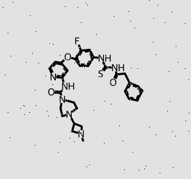 CN1CC(N2CCN(C(=O)Nc3cc(Oc4ccc(NC(=S)NC(=O)Cc5ccccc5)cc4F)ccn3)CC2)C1